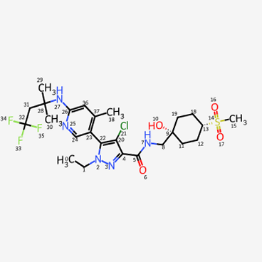 CCn1nc(C(=O)NC[C@]2(O)CC[C@@H](S(C)(=O)=O)CC2)c(Cl)c1-c1cnc(NC(C)(C)CC(F)(F)F)cc1C